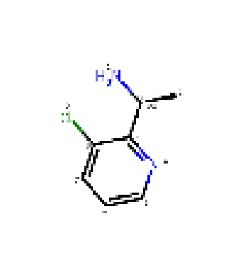 C[C@H](N)c1ncccc1Cl